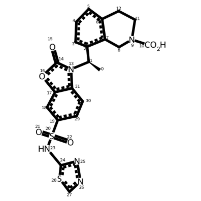 C[C@H](c1cccc2c1CN(C(=O)O)CC2)n1c(=O)oc2cc(S(=O)(=O)Nc3nncs3)ccc21